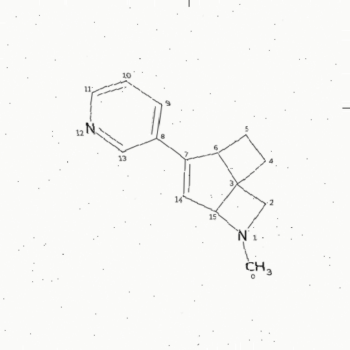 CN1CC23CCC2C(c2cccnc2)=CC13